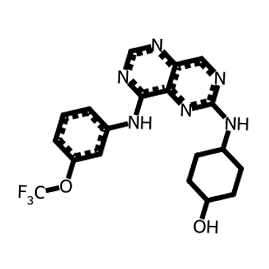 OC1CCC(Nc2ncc3ncnc(Nc4cccc(OC(F)(F)F)c4)c3n2)CC1